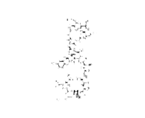 CSCCC(NC(=O)C(CCC(N)=O)NC(=O)C(N)CC(=O)O)C(=O)NC(CO)C(=O)NC(CC(=O)O)C(=O)NCC(=O)NC(C(=O)NC(CC(N)=O)C(=O)NC(Cc1ccc(O)cc1)C(=O)NCC(=O)NC(CCCCN)C(=O)NCC(=O)NC(CO)C(=O)NC(CO)C(=O)NC(CC(C)C)C(N)=O)C(C)C